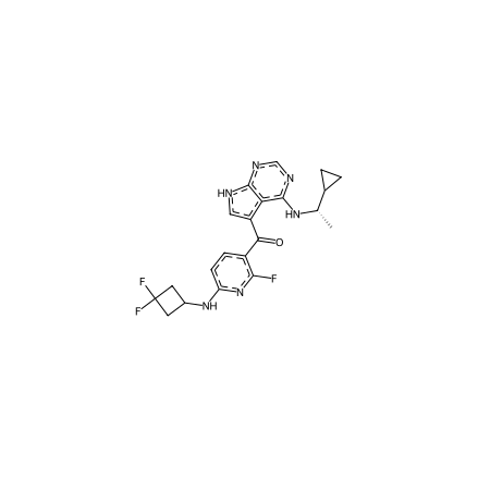 C[C@H](Nc1ncnc2[nH]cc(C(=O)c3ccc(NC4CC(F)(F)C4)nc3F)c12)C1CC1